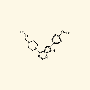 CCOCN1CCN(c2ccnc3[nH]c(-c4ccc(OC(C)C)cc4)cc23)CC1